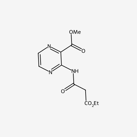 CCOC(=O)CC(=O)Nc1nccnc1C(=O)OC